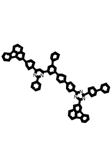 c1ccc(-c2ccc(-c3nc(-c4ccc(-c5ccc(-c6cc(-c7ccccc7)cc(-c7cc(-c8ccc(-c9cc%10c%11c(cccc%11c9)-c9ccccc9-%10)cc8)nc(-c8ccccc8)n7)c6)cc5)cc4)nc(-c4cc5c6c(cccc6c4)-c4ccccc4-5)n3)cc2)cc1